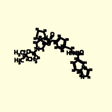 CC(C)(C)OC(=O)N1CCC2(CCCN2S(=O)(=O)c2ccc(CNC(=O)c3ccc4nccn4c3)cc2)C1